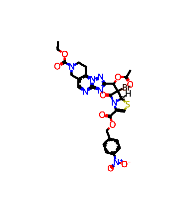 CCOC(=O)N1CCc2c(cnc3nc(C(OC(C)=O)C4(Br)C(=O)N5C(C(=O)OCc6ccc([N+](=O)[O-])cc6)=CS[C@@H]54)nn23)C1